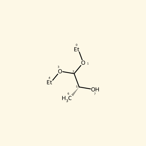 CCOC(OCC)[C@@H](C)O